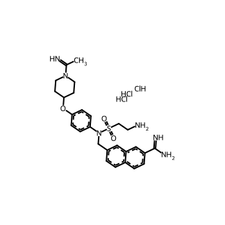 CC(=N)N1CCC(Oc2ccc(N(Cc3ccc4ccc(C(=N)N)cc4c3)S(=O)(=O)CCN)cc2)CC1.Cl.Cl.Cl